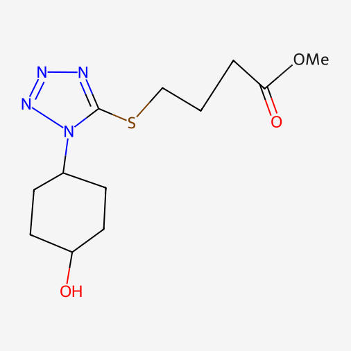 COC(=O)CCCSc1nnnn1C1CCC(O)CC1